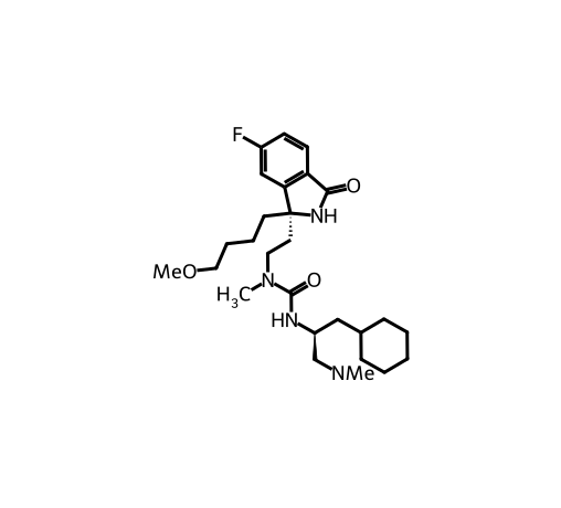 CNC[C@H](CC1CCCCC1)NC(=O)N(C)CC[C@@]1(CCCCOC)NC(=O)c2ccc(F)cc21